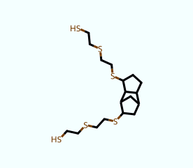 SCCSCCSC1CC2CC1C1C(SCCSCCS)CCC21